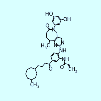 C=CC(=O)Nc1cc(C(=O)CCCC2CCCCC(C)CC2)ccc1Nc1ncc2c(n1)C(C)CCC(=O)N(c1cc(O)cc(O)c1)C2